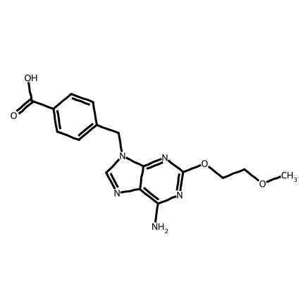 COCCOc1nc(N)c2ncn(Cc3ccc(C(=O)O)cc3)c2n1